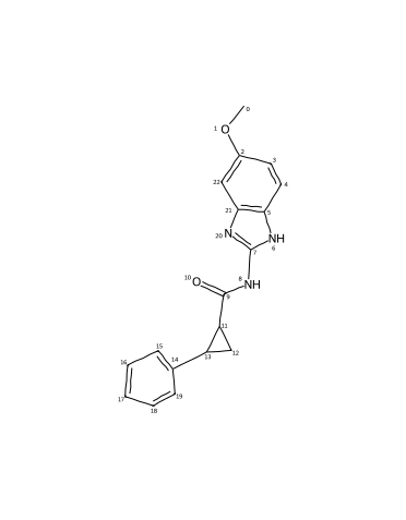 COc1ccc2[nH]c(NC(=O)C3CC3c3ccccc3)nc2c1